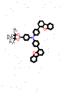 CC1(C)OB(c2ccc(N(c3ccc(C4=C5Oc6ccccc6C5CC=C4)cc3)c3ccc(-c4cccc5c4oc4ccccc45)cc3)cc2)OC1(C)C